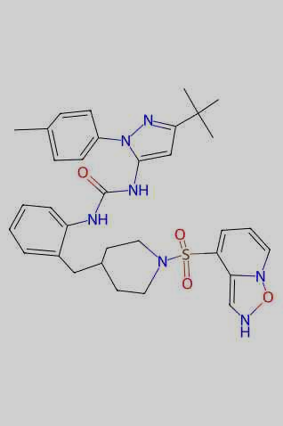 Cc1ccc(-n2nc(C(C)(C)C)cc2NC(=O)Nc2ccccc2CC2CCN(S(=O)(=O)C3=CC=CN4ONC=C34)CC2)cc1